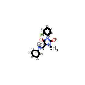 CCN(CC1C(=O)N(c2ccccc2F)C(=O)N1C)C1CCCCC1